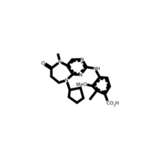 COc1c(Nc2ncc3c(n2)N(C2CCCC2)CCC(=O)N3C)ccc(C(=O)O)c1C